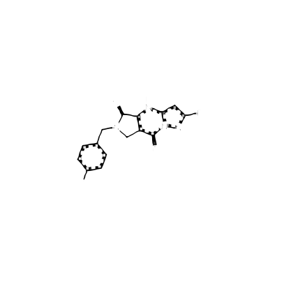 CCc1cc2[nH]c3c(c(=O)n2n1)CN(Cc1ccc(F)cc1)C3=O